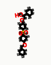 O=S(=O)(c1ccc(OCc2ccccc2)cc1)c1ccc(OCC(O)c2ccccc2)cc1